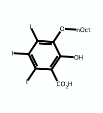 CCCCCCCCOc1c(O)c(C(=O)O)c(I)c(I)c1I